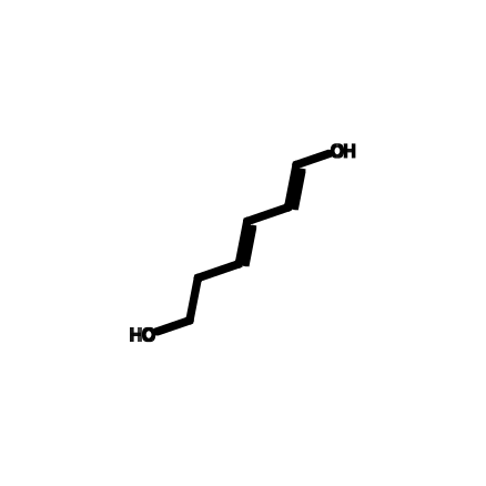 OC=CC=CCCO